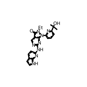 CCn1c(=O)c2cnc(Nc3ccc4cc[nH]c4n3)nc2n1-c1cccc(C(C)(C)O)n1